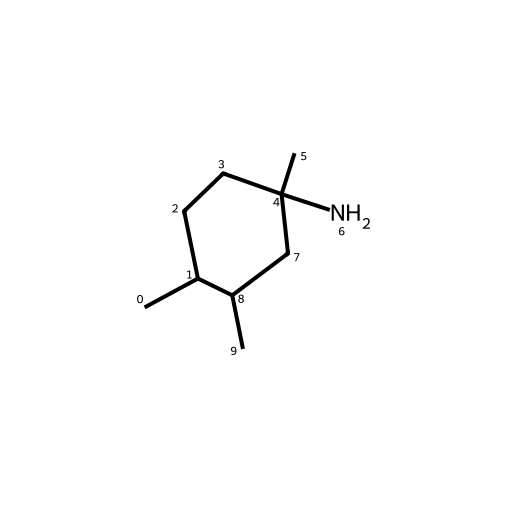 CC1CCC(C)(N)CC1C